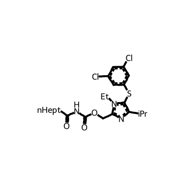 CCCCCCCC(=O)NC(=O)OCc1nc(C(C)C)c(Sc2cc(Cl)cc(Cl)c2)n1CC